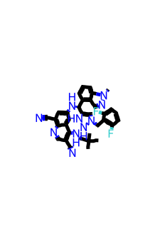 Cn1ncc2c([C@H](Nc3cc(C#N)c4ncc(C#N)c(NCC(C)(C)C)c4c3)C3=CN(Cc4c(F)cccc4F)NN3)cccc21